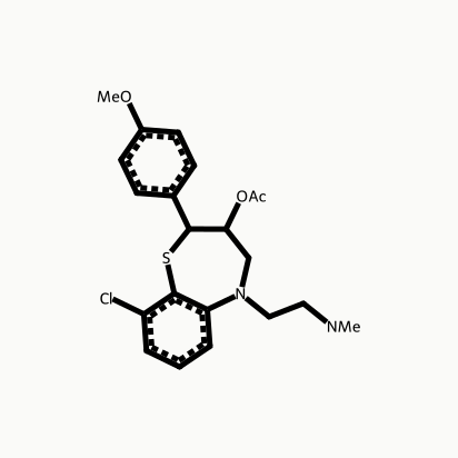 CNCCN1CC(OC(C)=O)C(c2ccc(OC)cc2)Sc2c(Cl)cccc21